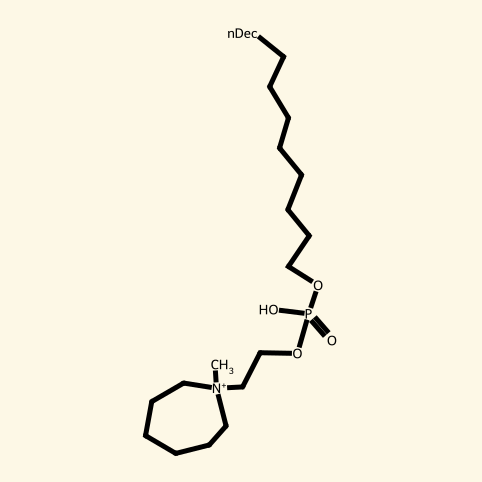 CCCCCCCCCCCCCCCCCCOP(=O)(O)OCC[N+]1(C)CCCCCC1